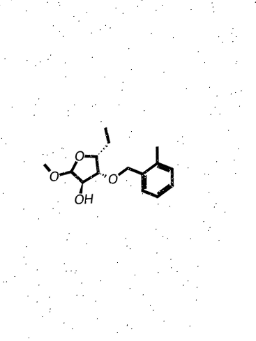 CC[C@H]1OC(OC)[C@H](O)[C@H]1OCc1ccccc1C